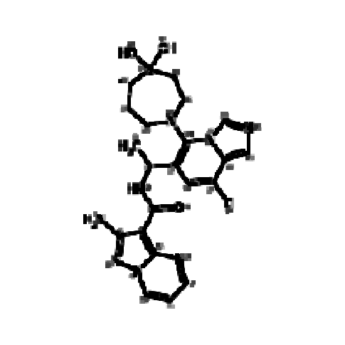 CC(NC(=O)c1c(N)nn2cccnc12)c1cc(Cl)c2cncn2c1N1CCCS(O)(O)CC1